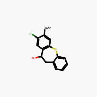 COc1cc2c(cc1Cl)C(O)Cc1ccccc1S2